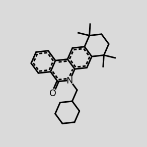 CC1(C)CCC(C)(C)c2cc3c(cc21)c1ccccc1c(=O)n3CC1CCCCC1